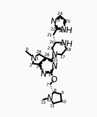 CN1Cc2nc(OC[C@@H]3CCCN3C)nc(N3CCN[C@@H](Cc4ncc[nH]4)C3)c2C1